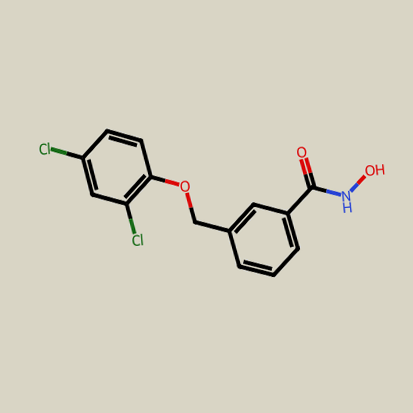 O=C(NO)c1cccc(COc2ccc(Cl)cc2Cl)c1